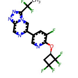 CC(F)(F)c1nnc2cnc(-c3cnc(O[C@@H]4CC(F)(F)C4(F)F)c(F)c3)cn12